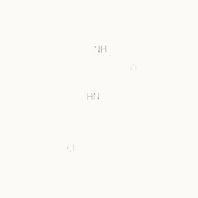 NC(=O)N/C=C\Cl